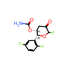 NC(=O)O[C@@H]1CC(=O)C(F)O[C@@H]1c1cc(F)ccc1F